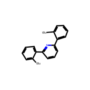 CC(C)(C)c1ccccc1-c1cccc(-c2ccccc2C(C)(C)C)n1